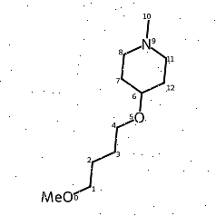 COCCCCOC1CCN(C)CC1